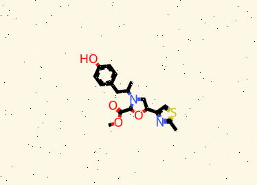 COC(=O)C1OC(c2csc(C)n2)CN1C(C)Cc1ccc(O)cc1